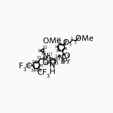 COCCCOc1cc(C(=O)N(C[C@@H]2CNC[C@H]2CN(C(=O)Cc2cc(C(F)(F)F)cc(C(F)(F)F)c2)C2CC2)C(C)C)ccc1OC